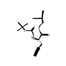 C#CC[C@H](NC(=O)OC(C)(C)C)C(=O)OCC(C)C